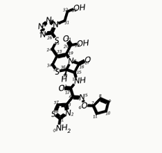 Nc1nc(C(=NOC2C=CCC2)C(=O)NC2C(=O)N3C(C(=O)O)=C(CSc4nnnn4CCO)CS[C@@H]23)cs1